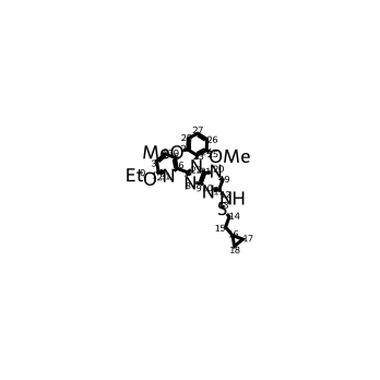 CCOc1cccc(-c2nc3nc(NSCCC4CC4)cnc3n2-c2c(OC)cccc2OC)n1